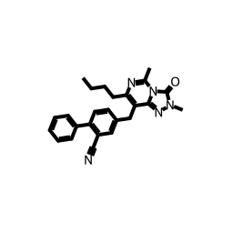 CCCCc1nc(C)n2c(=O)n(C)nc2c1Cc1ccc(-c2ccccc2)c(C#N)c1